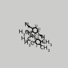 Cc1cc(C)c(N2c3c(C#N)ccc(C#N)c3N(C)[C@@H]2C)cc1C